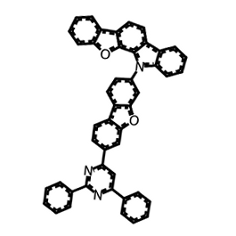 c1ccc(-c2cc(-c3ccc4c(c3)oc3cc(-n5c6ccccc6c6ccc7c8ccccc8oc7c65)ccc34)nc(-c3ccccc3)n2)cc1